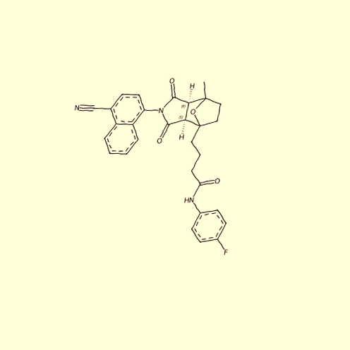 CC12CCC(CCCC(=O)Nc3ccc(F)cc3)(O1)[C@H]1C(=O)N(c3ccc(C#N)c4ccccc34)C(=O)[C@H]12